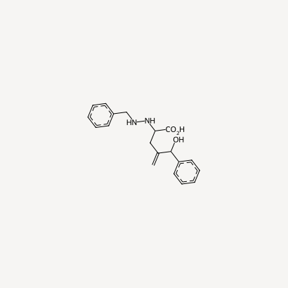 C=C(CC(NNCc1ccccc1)C(=O)O)C(O)c1ccccc1